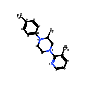 CC(C)C1CN(c2ncccc2C(F)(F)F)CCN1c1ccc(C(F)(F)F)cc1